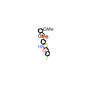 COc1cccc(OC)c1CS(=O)(=O)c1ccc2c(c1)SC(=Cc1ccc(F)cc1)C(=O)N2